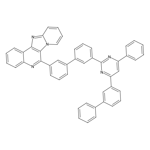 c1ccc(-c2cccc(-c3cc(-c4ccccc4)nc(-c4cccc(-c5cccc(-c6nc7ccccc7c7nc8ccccn8c67)c5)c4)n3)c2)cc1